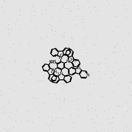 Cc1cccc2c3ccccc3n(-c3c(C#N)c(-n4c5ccccc5c5cccc(C)c54)c(-n4c5ccccc5c5cccc(C)c54)c(-c4ccc5c(c4)sc4cnccc45)c3-n3c4ccccc4c4cccc(C)c43)c12